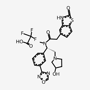 CN(C(=O)Cc1ccc2sc(=O)[nH]c2c1)[C@H](CN1CCC(O)C1)c1cccc(-c2ncon2)c1.O=C(O)C(F)(F)F